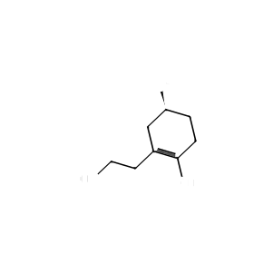 CC1=C(CCC=O)C[C@@H](C(C)C)CC1